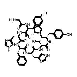 NCC(=O)N[C@@H](Cc1ccc(O)cc1)C(=O)N[C@@H](Cc1c[nH]cn1)C(=O)N[C@@H](Cc1ccccc1)C(=O)N[C@@H](Cc1c[nH]cn1)C(=O)N[C@@H](CO)C(=O)N[C@@H](Cc1ccc(O)cc1)C(=O)N1CCC[C@H]1C(=O)O